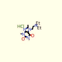 CCN(CC)CCn1c(C)nc2c1c(=O)n(C)c(=O)n2C.Cl